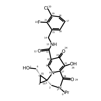 CC(C)N1C[C@@]2(C[C@@H]2CO)n2cc(C(=O)NCc3cccc(Cl)c3F)c(=O)c(O)c2C1=O